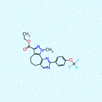 CCOC(=O)c1nn(C)c2c1CCCc1cnc(-c3ccc(OC(F)(F)F)cc3)nc1-2